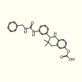 CC1(C)Cc2cc(OC(=O)O)ccc2NC1c1cccc(NC(=O)NCc2ccccc2)c1